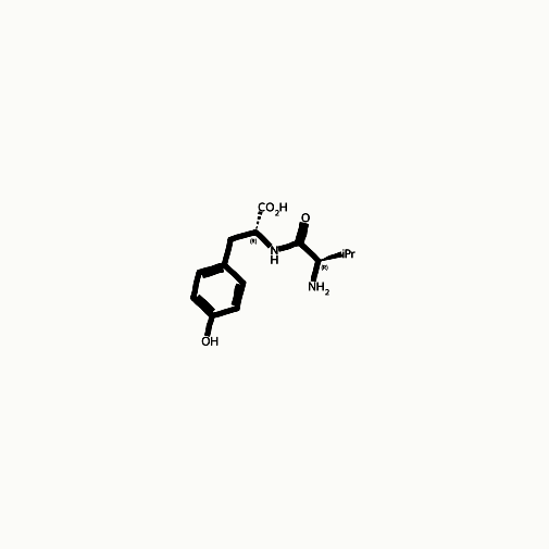 CC(C)[C@@H](N)C(=O)N[C@H](Cc1ccc(O)cc1)C(=O)O